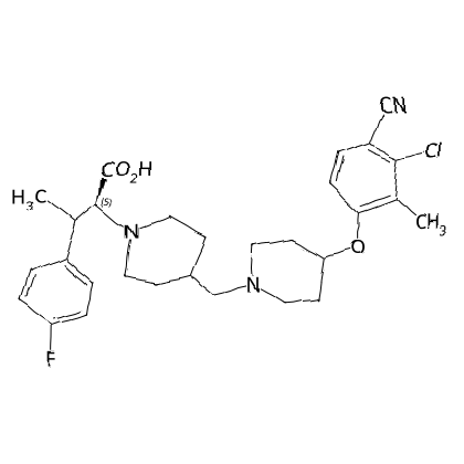 Cc1c(OC2CCN(CC3CCN([C@H](C(=O)O)C(C)c4ccc(F)cc4)CC3)CC2)ccc(C#N)c1Cl